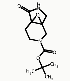 CC(C)(C)OC(=O)N1CCC23OC2(CNC3=O)C1